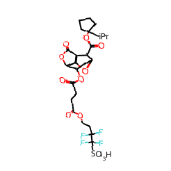 CC(C)C1(OC(=O)C2C3OC4C(OC(=O)C42)C3OC(=O)CCC(=O)OCCC(F)(F)C(F)(F)S(=O)(=O)O)CCCC1